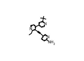 CCc1nccc(-c2ccnc(C(C)(C)C)c2)c1C#Cc1ccc(N)nc1